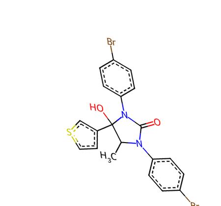 CC1N(c2ccc(Br)cc2)C(=O)N(c2ccc(Br)cc2)C1(O)c1ccsc1